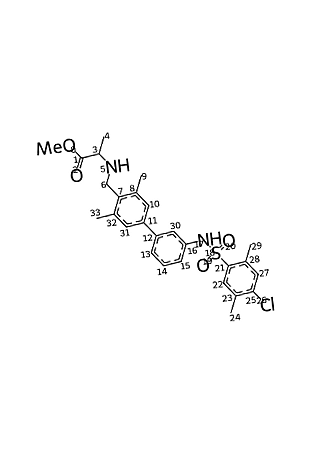 COC(=O)C(C)NCc1c(C)cc(-c2cccc(NS(=O)(=O)c3cc(C)c(Cl)cc3C)c2)cc1C